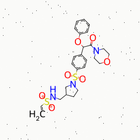 C=CS(=O)(=O)NCC1CCN(S(=O)(=O)c2ccc(C(Oc3ccccc3)C(=O)N3CCOCC3)cc2)C1